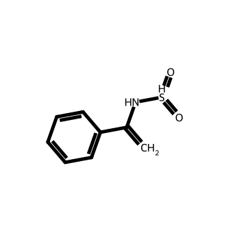 C=C(N[SH](=O)=O)c1ccccc1